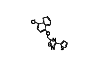 Clc1ccc(OCc2nc(-c3cccs3)no2)c2ccccc12